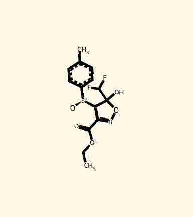 CCOC(=O)C1=NOC(O)(C(F)F)C1[S@@+]([O-])c1ccc(C)cc1